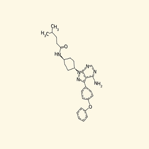 CC(C)CCC(=O)N[C@H]1CC[C@@H](n2nc(-c3ccc(Oc4ccccc4)cc3)c3c(N)ncnc32)CC1